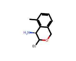 CCC1OCc2cccc(C)c2[C@@H]1N